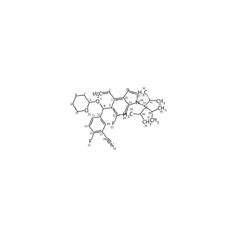 C=Cc1c(C(OC2CCCCO2)c2ccc(F)c(C#N)c2)c(F)cc2c1ccn2[Si](C(C)C)(C(C)C)C(C)C